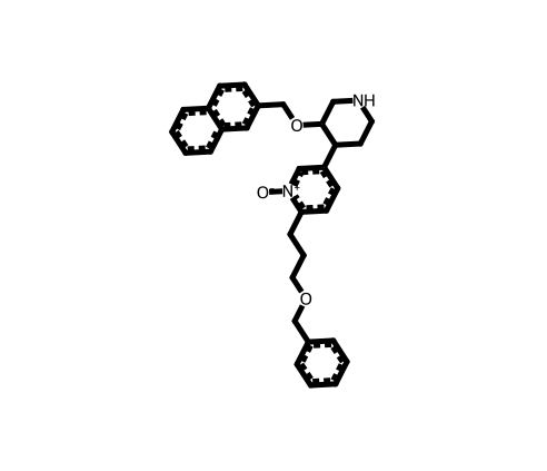 [O-][n+]1cc(C2CCNCC2OCc2ccc3ccccc3c2)ccc1CCCOCc1ccccc1